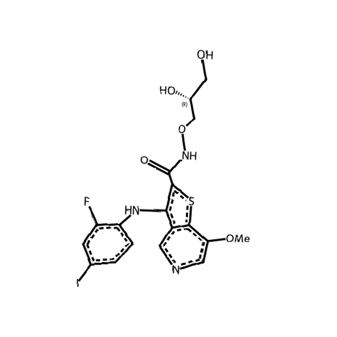 COc1cncc2c(Nc3ccc(I)cc3F)c(C(=O)NOC[C@H](O)CO)sc12